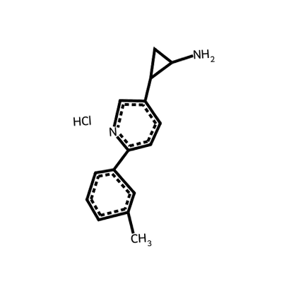 Cc1cccc(-c2ccc(C3CC3N)cn2)c1.Cl